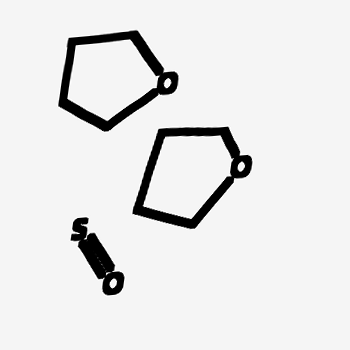 C1CCOC1.C1CCOC1.O=S